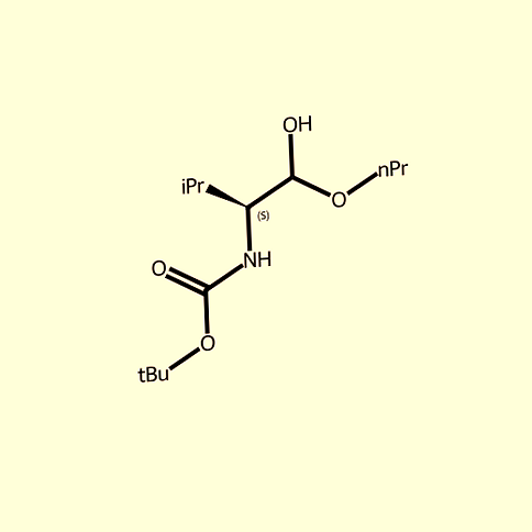 CCCOC(O)[C@@H](NC(=O)OC(C)(C)C)C(C)C